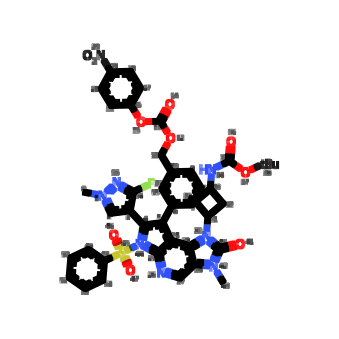 Cn1cc(-c2c(-c3cccc(COC(=O)Oc4ccc([N+](=O)[O-])cc4)c3)c3c(ncc4c3n(C3CC(NC(=O)OC(C)(C)C)C3)c(=O)n4C)n2S(=O)(=O)c2ccccc2)c(F)n1